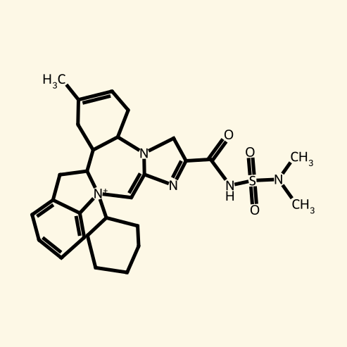 CC1=CCC2C(C1)C1Cc3ccccc3[N+]1(C1CCCCC1)C=C1N=C(C(=O)NS(=O)(=O)N(C)C)CN12